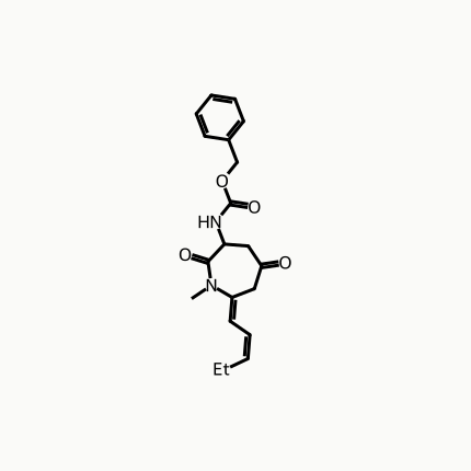 CC/C=C\C=C1/CC(=O)CC(NC(=O)OCc2ccccc2)C(=O)N1C